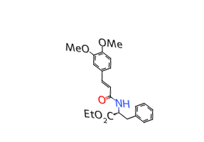 CCOC(=O)[C@H](Cc1ccccc1)NC(=O)/C=C/c1ccc(OC)c(OC)c1